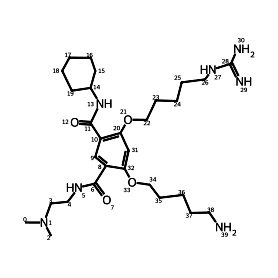 CN(C)CCNC(=O)c1cc(C(=O)NC2CCCCC2)c(OCCCCCNC(=N)N)cc1OCCCCCN